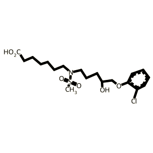 CS(=O)(=O)N(CCCCCCC(=O)O)CCCC(O)COc1ccccc1Cl